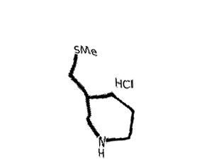 CSCC1CCCNC1.Cl